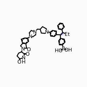 CC/C(=C(\c1ccc(B(O)O)cc1)c1ccc(N2CCC(CN3CCN(c4ccc5c(c4)C(=O)N(C4CCC(=O)NC4=O)C5)CC3)CC2)cc1)c1ccccc1